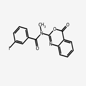 CN(C(=O)c1cccc(I)c1)c1nc2ccccc2c(=O)o1